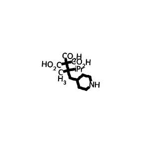 CC(C)C(C)(CC1CCNCC1)C(C(=O)O)(C(=O)O)C(=O)O